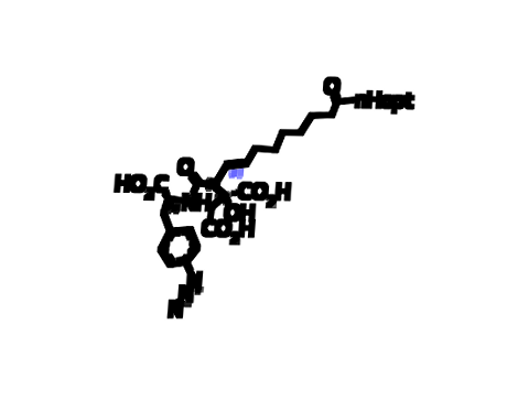 CCCCCCCC(=O)CCCCCC/C=C/[C@H](C(=O)N[C@@H](Cc1ccc(N=[N+]=[N-])cc1)C(=O)O)[C@@](O)(CC(=O)O)C(=O)O